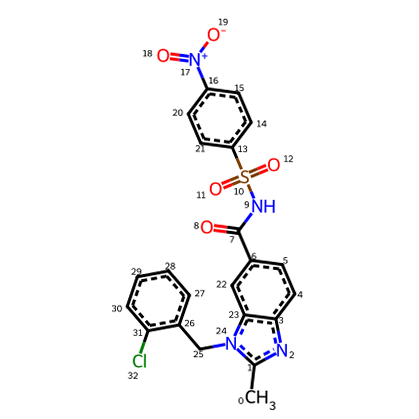 Cc1nc2ccc(C(=O)NS(=O)(=O)c3ccc([N+](=O)[O-])cc3)cc2n1Cc1ccccc1Cl